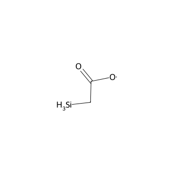 [O]C(=O)C[SiH3]